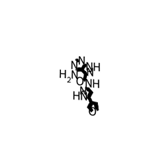 Nc1ncnc2[nH]nc(C(=O)Nc3cc(-c4ccoc4)[nH]n3)c12